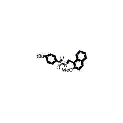 COc1ccc2ccccc2c1/C=N/S(=O)(=O)c1ccc(C(C)(C)C)cc1